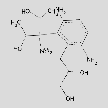 CC(O)C(N)(c1c(N)ccc(N)c1CC(O)CO)C(C)O